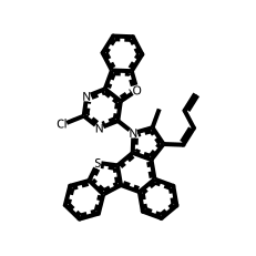 C=C/C=C\c1c(C)n(-c2nc(Cl)nc3c2oc2ccccc23)c2c3sc4ccccc4c3c3ccccc3c12